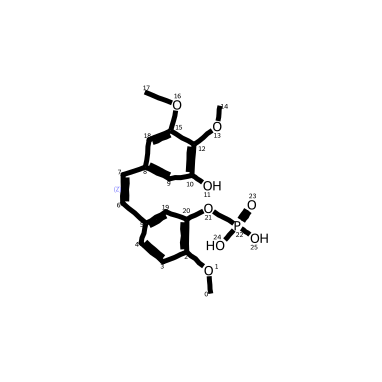 COc1ccc(/C=C\c2cc(O)c(OC)c(OC)c2)cc1OP(=O)(O)O